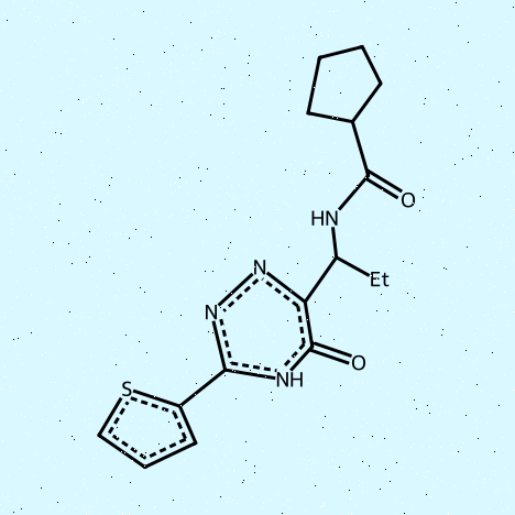 CCC(NC(=O)C1CCCC1)c1nnc(-c2cccs2)[nH]c1=O